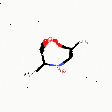 Br.CC1COC(C)CN1